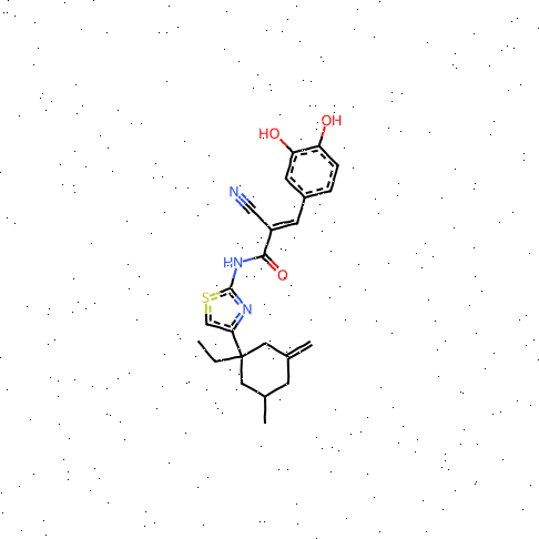 C=C1CC(C)CC(CC)(c2csc(NC(=O)/C(C#N)=C/c3ccc(O)c(O)c3)n2)C1